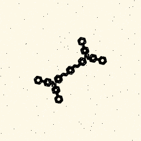 C(=C\c1ccc(N(c2ccc(C3CCCCC3)cc2)c2ccc(C3CCCCC3)cc2)cc1)/c1ccc(/C=C/c2ccc(N(c3ccc(C4CCCCC4)cc3)c3ccc(C4CCCCC4)cc3)cc2)cc1